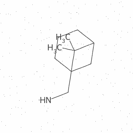 CC1(C)C2CCCC1(C[NH])C2